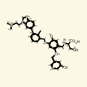 Cc1c(COc2cc(OCc3cncc(C#N)c3)c(CNC(CO)C(=O)O)cc2Cl)cccc1-c1ccc2ncn(CCN(C)C)c2c1